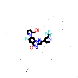 Cn1c(=O)c2cc(F)c(N3CCCC3CO)cc2n2nc(-c3ccnc(C(F)(F)F)c3)cc12